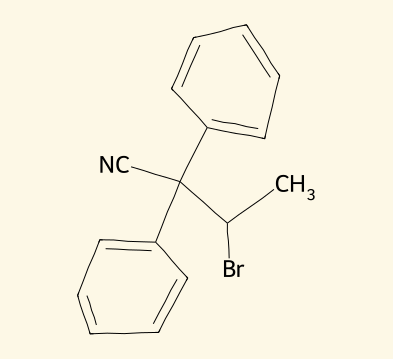 CC(Br)C(C#N)(c1ccccc1)c1ccccc1